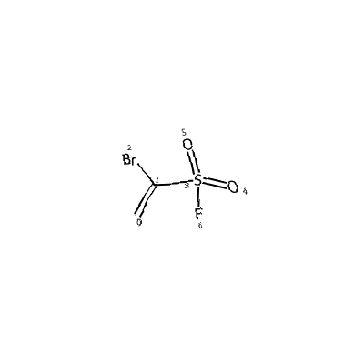 C=C(Br)S(=O)(=O)F